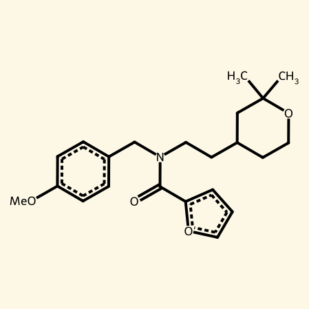 COc1ccc(CN(CCC2CCOC(C)(C)C2)C(=O)c2ccco2)cc1